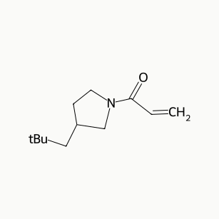 C=CC(=O)N1CCC(CC(C)(C)C)C1